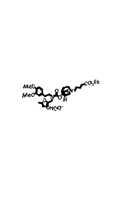 CCOC(=O)CCCC[N+]12CCC(CC1)[C@@H](OC(=O)N(CCc1ccc(OC)c(OC)c1)Cc1ccc(C)o1)C2.O=C[O-]